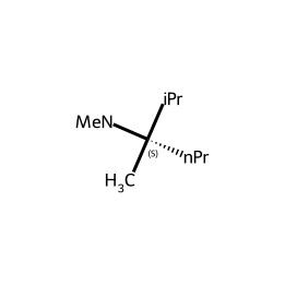 CCC[C@](C)(NC)C(C)C